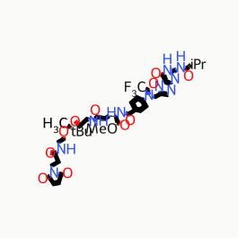 COC(=O)[C@H](CCC(=O)NCCOC(C)(OCCNC(=O)CCN1C(=O)C=CC1=O)C(C)(C)C)NC(=O)c1ccc(N(Cc2cnc3nc(NC(=O)C(C)C)[nH]c(=O)c3n2)C(=O)C(F)(F)F)cc1